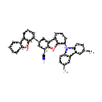 Cc1ccc2c(c1)c1cc(C)ccc1n2-c1cccc2c1oc1c(C#N)cc(-c3cccc4c3oc3ccccc34)cc12